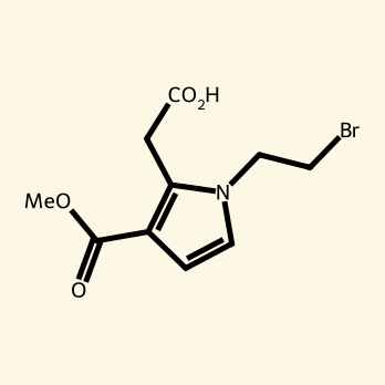 COC(=O)c1ccn(CCBr)c1CC(=O)O